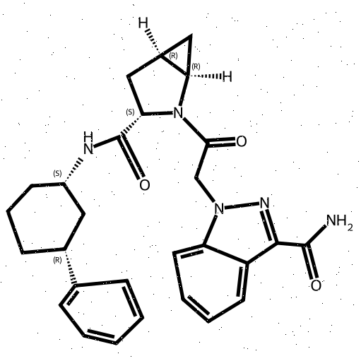 NC(=O)c1nn(CC(=O)N2[C@@H]3C[C@@H]3C[C@H]2C(=O)N[C@H]2CCC[C@@H](c3ccccc3)C2)c2ccccc12